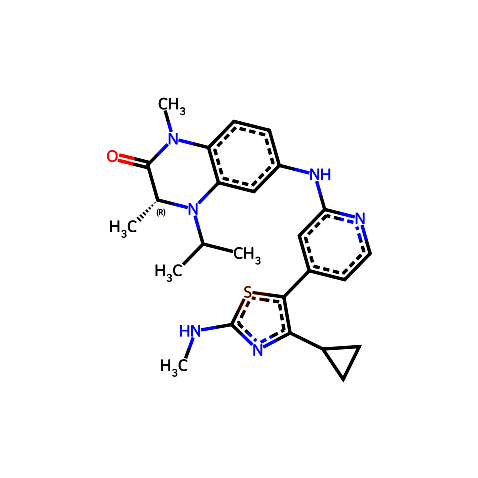 CNc1nc(C2CC2)c(-c2ccnc(Nc3ccc4c(c3)N(C(C)C)[C@H](C)C(=O)N4C)c2)s1